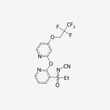 CCS(=O)(=NC#N)c1cccnc1Oc1cc(OCC(F)(F)C(F)(F)F)ccn1